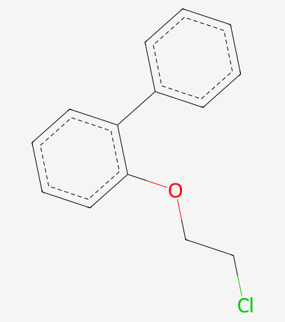 ClCCOc1ccccc1-c1ccccc1